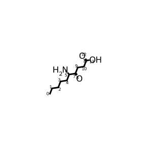 CCCCCC(N)C(=O)CCC(=O)O